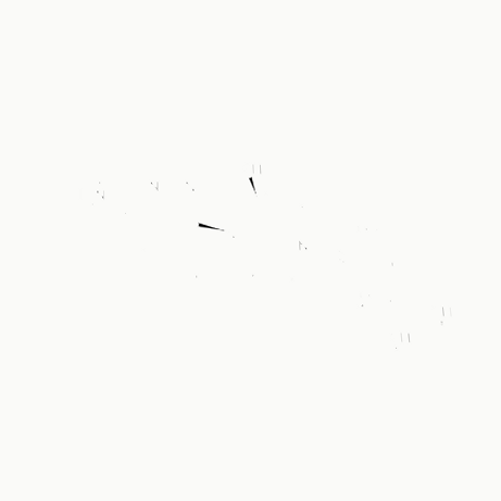 Cc1cc(N)nnc1[C@@H]1CCN(C(=O)OC(C)(C)C)C[C@@H]1C